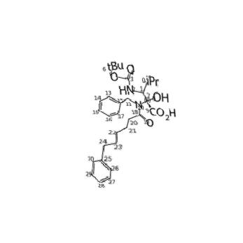 CC(C)C(NC(=O)OC(C)(C)C)[C@@](O)(C(=O)O)N(Cc1ccccc1)C(=O)CCCCCc1ccccc1